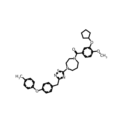 COc1ccc(C(=O)N2CCCN(c3nc(Cc4ccc(Oc5ccc(C)cc5)cc4)ns3)CC2)cc1OC1CCCC1